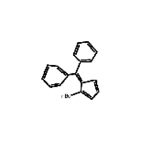 CCCCC1=CC=CC1=C(c1ccccc1)c1ccccc1